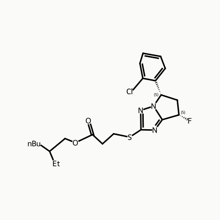 CCCCC(CC)COC(=O)CCSc1nc2n(n1)[C@H](c1ccccc1Cl)C[C@@H]2F